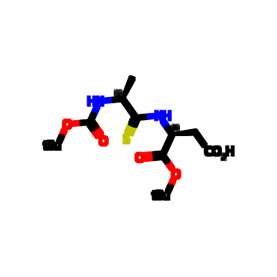 C[C@H](NC(=O)OC(C)(C)C)C(=S)N[C@@H](CC(=O)O)C(=O)OC(C)(C)C